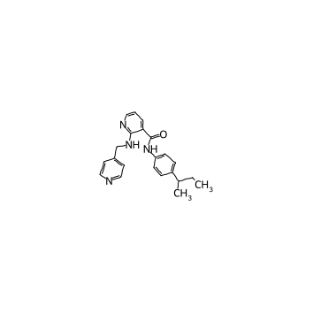 CCC(C)c1ccc(NC(=O)c2cccnc2NCc2ccncc2)cc1